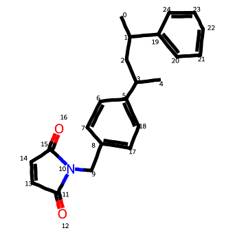 CC(CC(C)c1ccc(CN2C(=O)C=CC2=O)cc1)c1ccccc1